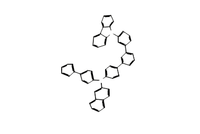 c1ccc(-c2ccc(N(c3ccc(-c4cccc(-c5cccc(-n6c7ccccc7c7ccccc76)c5)c4)cc3)c3ccc4ccccc4c3)cc2)cc1